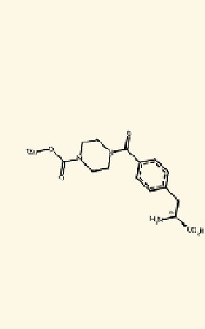 CC(C)(C)OC(=O)N1CCN(C(=O)c2ccc(C[C@H](N)C(=O)O)cc2)CC1